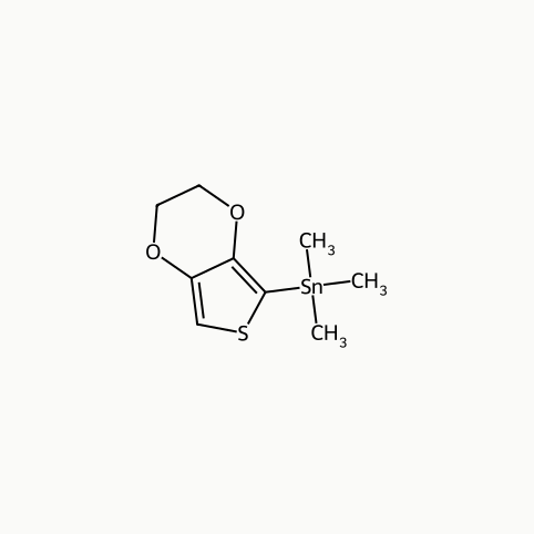 [CH3][Sn]([CH3])([CH3])[c]1scc2c1OCCO2